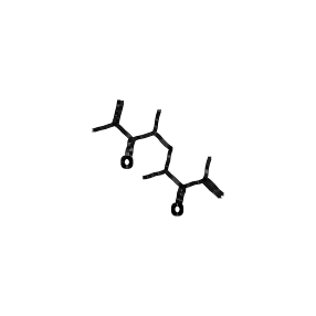 C=C(C)C(=O)C(C)CC(C)C(=O)C(=C)C